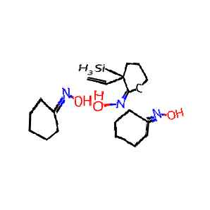 C=CC1([SiH3])CCCCC1=NO.ON=C1CCCCC1.ON=C1CCCCC1